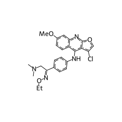 CCON=C(CN(C)C)c1ccc(Nc2c3ccc(OC)cc3nc3occ(Cl)c23)cc1